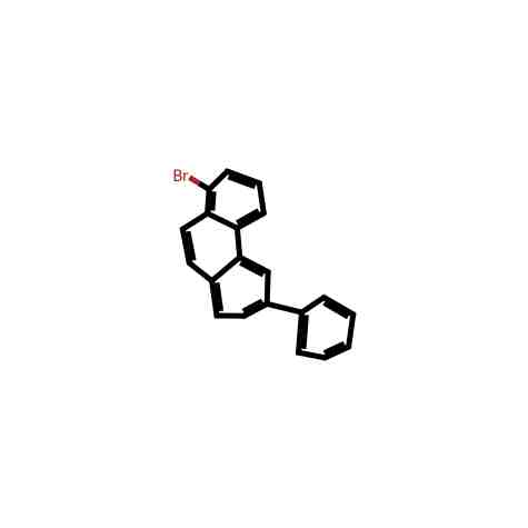 Brc1cccc2c1ccc1ccc(-c3ccccc3)cc12